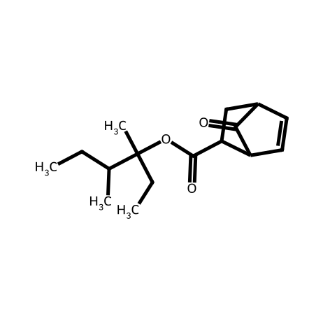 CCC(C)C(C)(CC)OC(=O)C1CC2C=CC1C2=O